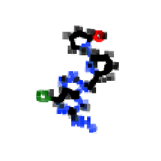 Nc1nc(Cl)c2nnn(Cc3cccc(N4CCCC4=O)n3)c2n1